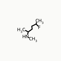 CNC(C)CCC(C)F